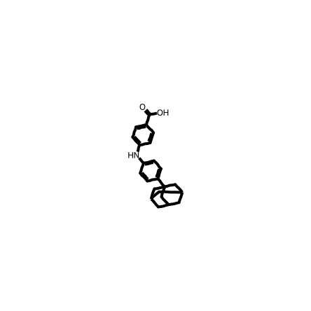 O=C(O)c1ccc(Nc2ccc(C34CC5CC(CC(C5)C3)C4)cc2)cc1